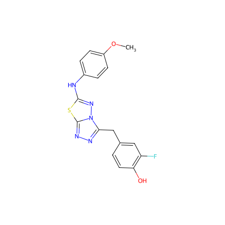 COc1ccc(Nc2nn3c(Cc4ccc(O)c(F)c4)nnc3s2)cc1